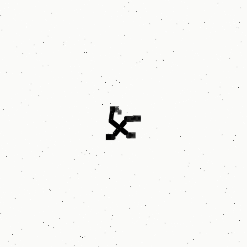 F.NCC(O)(O)O